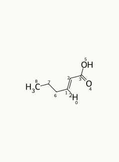 [2H]C(=CC(=O)O)CCC